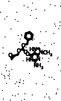 CN1CNc2c1nc(N)[nH]c2=O.O=C(OCc1ccccc1)OCC1CO1